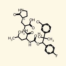 CC(C)CC(NC(=O)OC(c1ccc(F)cc1)C(C)(C)c1cccc(Cl)c1)C(=O)NC(C[C@@H]1CCNC1=O)C(=O)O